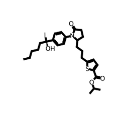 CCCCC[C@](O)(I)c1ccc(N2C(=O)CCC2CCCc2ccc(C(=O)OC(C)C)s2)cc1